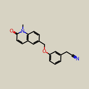 Cn1c(=O)ccc2cc(COc3cccc(CC#N)c3)ccc21